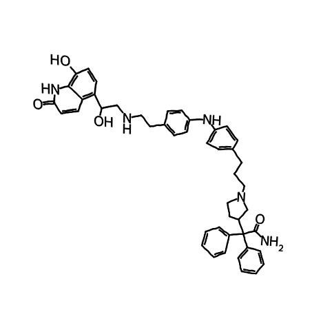 NC(=O)C(c1ccccc1)(c1ccccc1)C1CCN(CCCc2ccc(Nc3ccc(CCNCC(O)c4ccc(O)c5[nH]c(=O)ccc45)cc3)cc2)C1